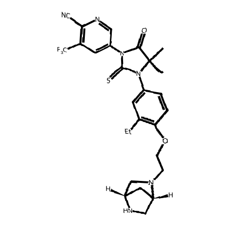 CCc1cc(N2C(=S)N(c3cnc(C#N)c(C(F)(F)F)c3)C(=O)C2(C)C)ccc1OCCN1C[C@@H]2C[C@H]1CN2